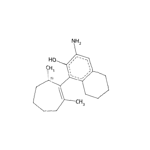 CC1=C(c2c(O)c(N)cc3c2CCCC3)[C@@H](C)CCCC1